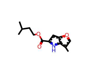 Cc1coc2cc(C(=O)OCCC(C)C)[nH]c12